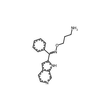 NCCCO/N=C(\c1ccccc1)c1cc2ccncc2[nH]1